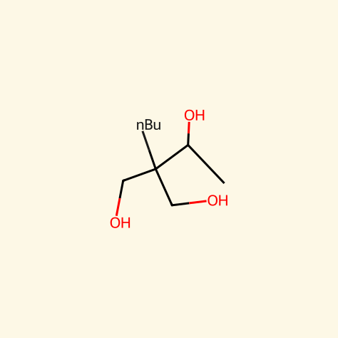 CCCCC(CO)(CO)C(C)O